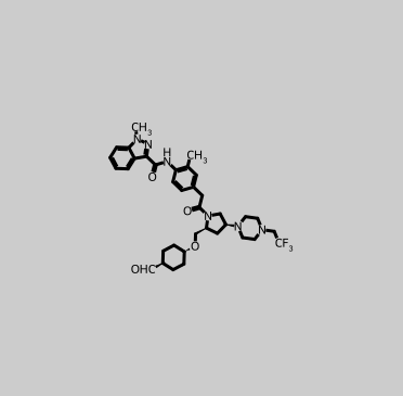 Cc1cc(CC(=O)N2C[C@@H](N3CCN(CC(F)(F)F)CC3)C[C@H]2CO[C@H]2CC[C@H](C=O)CC2)ccc1NC(=O)c1nn(C)c2ccccc12